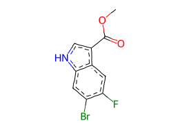 COC(=O)c1c[nH]c2cc(Br)c(F)cc12